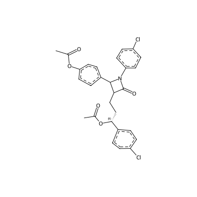 CC(=O)Oc1ccc(C2C(CC[C@@H](OC(C)=O)c3ccc(Cl)cc3)C(=O)N2c2ccc(Cl)cc2)cc1